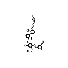 N#Cc1cncc(COc2cc(O[C@H]3CCc4c(-c5cccc(OCCCN6CC(F)C6)c5Cl)cccc43)c(Cl)cc2CN)c1